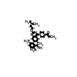 C=CC(=O)N1CCN(c2nc(OCCN(C)C)nc3c2C[C@@H](C)[C@H](c2c(C)ccc(N)c2C=N)C3)CC1